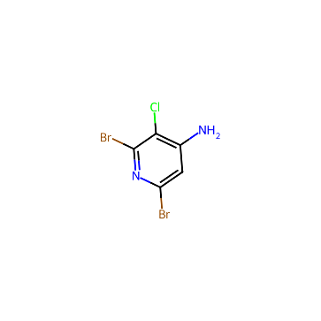 Nc1cc(Br)nc(Br)c1Cl